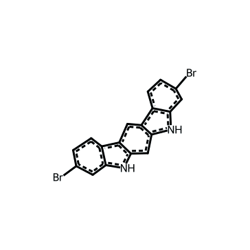 Brc1ccc2c(c1)[nH]c1cc3[nH]c4cc(Br)ccc4c3cc12